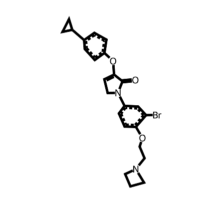 O=C1C(Oc2ccc(C3CC3)cc2)=CCN1c1ccc(OCCN2CCC2)c(Br)c1